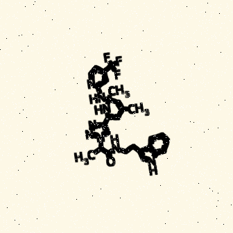 CC1=CC(C)(Nc2cc(C(F)(F)F)ccn2)NC(c2cn(C(C)C(=O)NCCc3c[nH]c4ccccc34)nn2)=C1